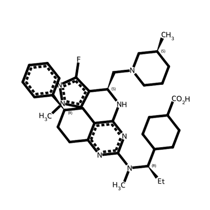 CC[C@H](C1CCC(C(=O)O)CC1)N(C)c1nc2c(c(N[C@H](CN3CCC[C@H](C)C3)c3cn(C)nc3F)n1)C[C@H](c1ccccc1)CC2